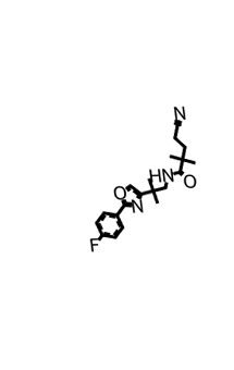 CC(C)(CCC#N)C(=O)NCC(C)(C)c1coc(-c2ccc(F)cc2)n1